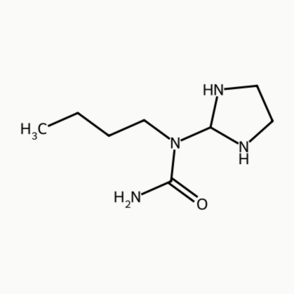 CCCCN(C(N)=O)C1NCCN1